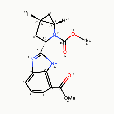 COC(=O)c1cccc2nc([C@@H]3C[C@@H]4C[C@@H]4N3C(=O)OC(C)(C)C)[nH]c12